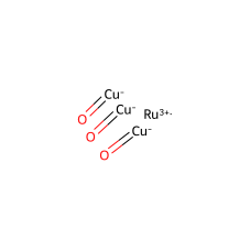 [O]=[Cu-].[O]=[Cu-].[O]=[Cu-].[Ru+3]